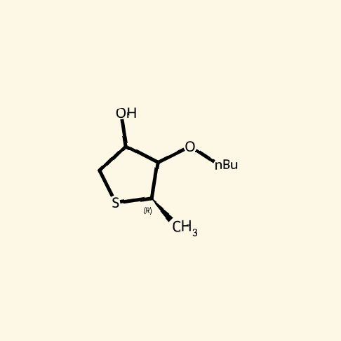 CCCCOC1C(O)CS[C@@H]1C